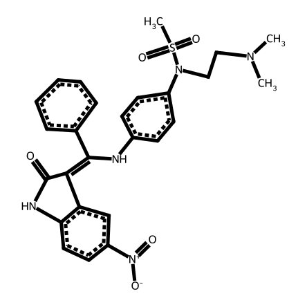 CN(C)CCN(c1ccc(NC(=C2C(=O)Nc3ccc([N+](=O)[O-])cc32)c2ccccc2)cc1)S(C)(=O)=O